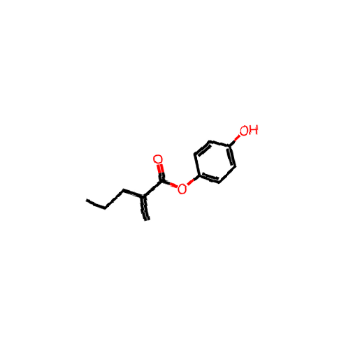 C=C(CCC)C(=O)Oc1ccc(O)cc1